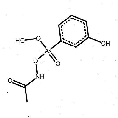 CC(=O)NO[As](=O)(OO)c1cccc(O)c1